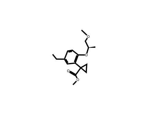 CCc1ccc(O[C@H](C)COC)c(C2(C(=O)OC)CC2)c1